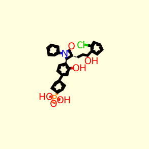 O=C1[C@H](CC[C@H](O)c2ccccc2Cl)[C@@H](c2ccc(-c3ccc(P(=O)(O)O)cc3)cc2O)N1c1ccccc1